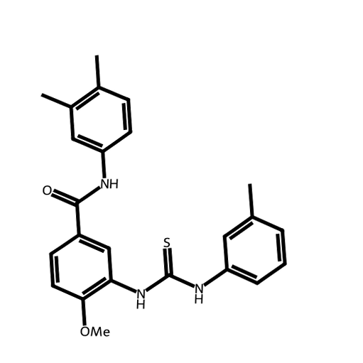 COc1ccc(C(=O)Nc2ccc(C)c(C)c2)cc1NC(=S)Nc1cccc(C)c1